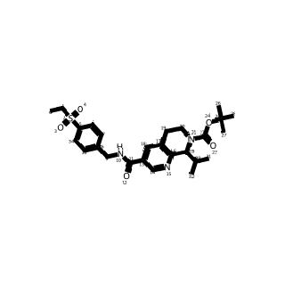 CCS(=O)(=O)c1ccc(CNC(=O)c2cnc3c(c2)CCN(C(=O)OC(C)(C)C)C3C(C)C)cc1